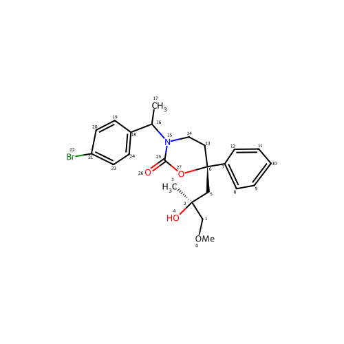 COC[C@@](C)(O)C[C@]1(c2ccccc2)CCN(C(C)c2ccc(Br)cc2)C(=O)O1